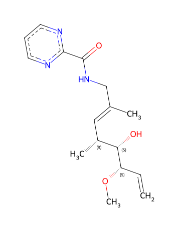 C=C[C@H](OC)[C@@H](O)[C@H](C)C=C(C)CNC(=O)c1ncccn1